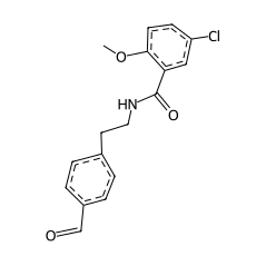 COc1ccc(Cl)cc1C(=O)NCCc1ccc(C=O)cc1